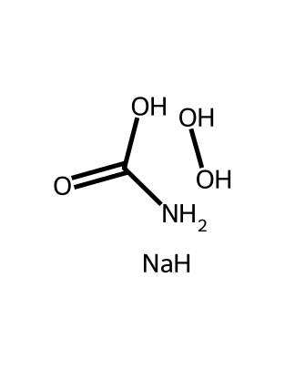 NC(=O)O.OO.[NaH]